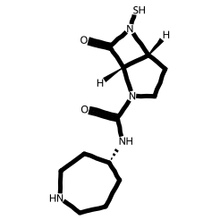 O=C1[C@@H]2[C@@H](CCN2C(=O)N[C@@H]2CCCNCC2)N1S